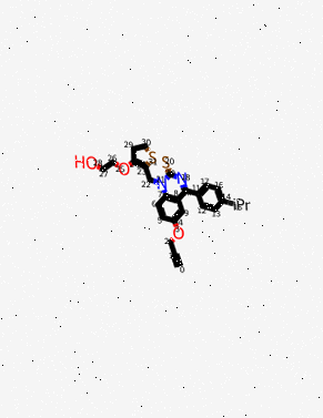 C#CCOc1ccc2c(c1)c(-c1ccc(C(C)C)cc1)nc(=S)n2CC1=C(OCCO)CCS1